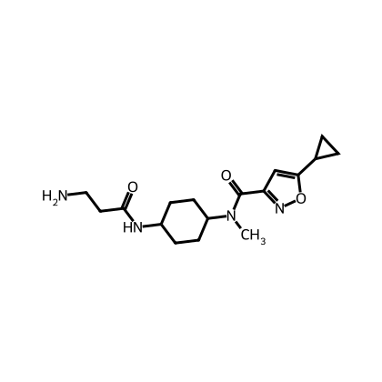 CN(C(=O)c1cc(C2CC2)on1)C1CCC(NC(=O)CCN)CC1